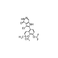 CCc1c(-c2ccc(OC(F)F)c3c2C=CC(C)(C)O3)[nH]c2cn[nH]c(=O)c12